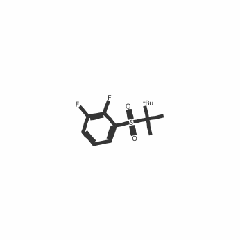 CC(C)(C)C(C)(C)S(=O)(=O)c1cccc(F)c1F